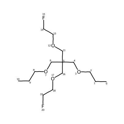 CCCOCC(COCCC)(COCCF)COCCF